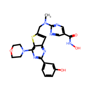 CN(Cc1cc2nc(-c3cccc(O)c3)nc(N3CCOCC3)c2s1)c1ncc(C(=O)NO)cn1